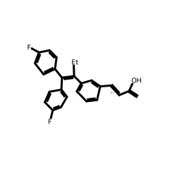 C=C(O)/C=C/c1cccc(C(CC)=C(c2ccc(F)cc2)c2ccc(F)cc2)c1